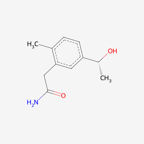 Cc1ccc([C@@H](C)O)cc1CC(N)=O